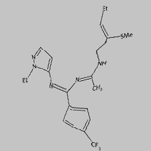 CC/C=C(/CN/C(C)=N/C(=N\c1ccnn1CC)c1ccc(C(F)(F)F)cc1)SC